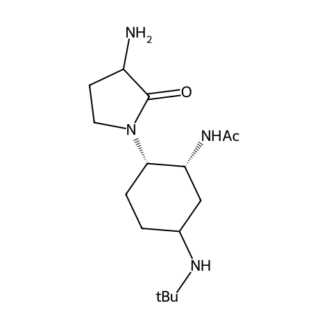 CC(=O)N[C@@H]1CC(NC(C)(C)C)CC[C@@H]1N1CCC(N)C1=O